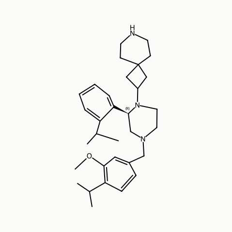 COc1cc(CN2CCN(C3CC4(CCNCC4)C3)[C@H](c3ccccc3C(C)C)C2)ccc1C(C)C